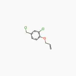 C=CCOc1ccc(CCl)cc1Cl